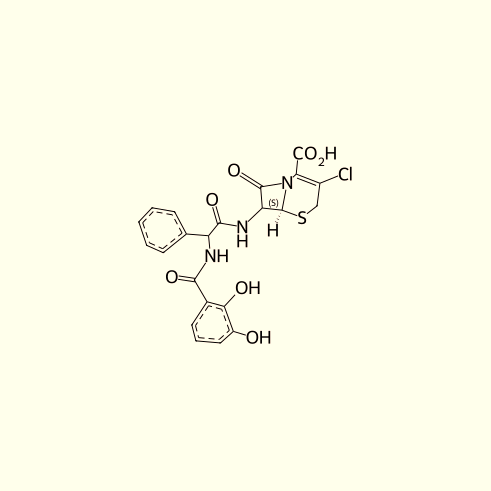 O=C(O)C1=C(Cl)CS[C@H]2C(NC(=O)C(NC(=O)c3cccc(O)c3O)c3ccccc3)C(=O)N12